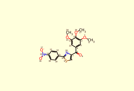 COc1cc(C(=O)c2csc(-c3ccc([N+](=O)[O-])cc3)n2)cc(OC)c1OC